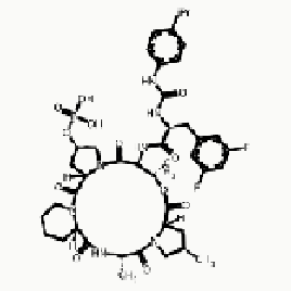 CC(C)c1ccc(NC(=O)N[C@@H](Cc2cc(F)cc(F)c2)C(=O)N[C@@H]2C(=O)N3C[C@H](OP(=O)(O)O)C[C@H]3C(=O)N3CCCC[C@H]3C(=O)N[C@@H](C)C(=O)N3C[C@H](C)C[C@H]3C(=O)O[C@H]2C)cc1